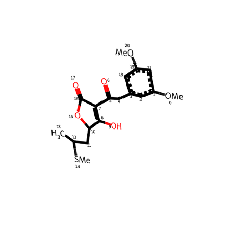 COc1cc(CC(=O)C2=C(O)C(CC(C)SC)OC2=O)cc(OC)c1